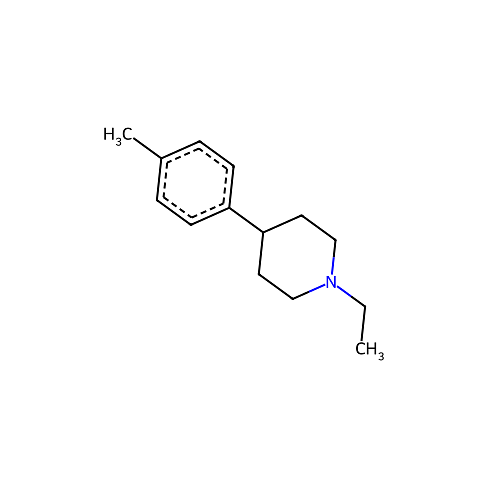 CCN1CCC(c2ccc(C)cc2)CC1